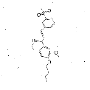 CCCCOc1cc2c(cc1OC)C(/C=C/c1cccc(S(C)(=O)=O)c1)NCC2